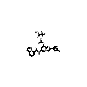 CC12CC(c3cn4cc(NC(=O)c5cccc6ccnn56)cc(OC(F)F)c4n3)(CO1)C2.O=C(O)C(F)(F)F